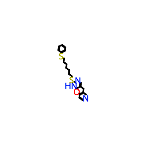 O=c1[nH]c(SCCCCCCCSc2ccccc2)ncc1Cc1cccnc1